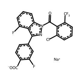 O=C([O-])c1ccc(-c2nn(C(=O)c3c(Cl)cccc3C(F)(F)F)c3cccc(F)c23)cc1F.[Na+]